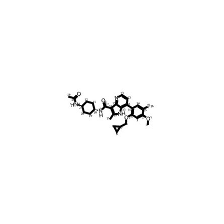 COc1cc(OCC2CC2)c(-c2ccnc3c(C(=O)N[C@H]4CC[C@H](NC(C)=O)CC4)c(C)[nH]c23)cc1F